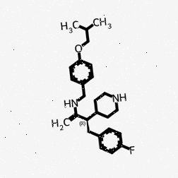 C=C(NCc1ccc(OCC(C)C)cc1)[C@H](Cc1ccc(F)cc1)C1CCNCC1